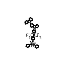 FC(F)(F)C(c1ccc(-c2nc(-c3ccccc3)nc(-c3ccccc3)n2)cc1)(c1ccc(-n2c3ccccc3c3cc(-n4c5ccccc5c5ccccc54)ccc32)cc1)C(F)(F)F